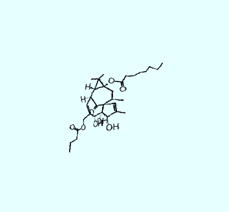 CCCCCCCC(=O)O[C@@]12C[C@@H](C)[C@]34C=C(C)[C@H](O)[C@@]3(O)[C@H](O)C(COC(=O)CCC)=C[C@H](C4=O)[C@@H]1C2(C)C